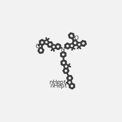 CCCCCCCC1(CCCCCCC)c2ccccc2-c2ccc(-c3ccc4c(c3)C(C)(C)c3cc(-c5ccc(N(c6ccc7c(c6)C(C)(C)c6cc8c(cc6-7)C(C)(C)c6ccc7oc9ccccc9c7c6-8)c6ccc7c(c6)C(C)(C)c6c8c(c9oc%10ccccc%10c9c6-7)-c6ccccc6C8(C)C)cc5)ccc3-4)cc21